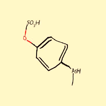 C[AsH]c1ccc(OS(=O)(=O)O)cc1